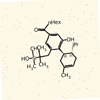 CCCCCCC(=O)c1cc(O)c([C@@H]2CC(C)=CC[C@H]2C(C)C)c(CC(C)(C)[Si](C)(C)O)c1